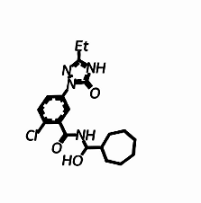 CCc1nn(-c2ccc(Cl)c(C(=O)NC(O)C3CCCCCC3)c2)c(=O)[nH]1